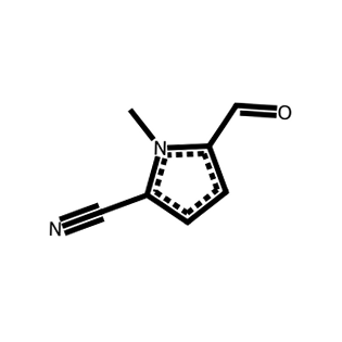 Cn1c(C#N)ccc1C=O